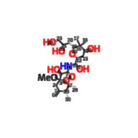 C=C1C[C@](OC)([C@@H](O)C(=O)N[C@@H](O)[C@@H]2C[C@@H](O)C(C)(C)[C@@H](C[C@H](O)CO)O2)O[C@H](C)[C@@H]1C